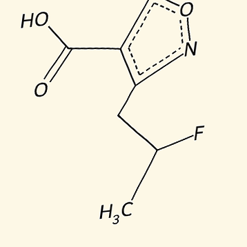 CC(F)Cc1nocc1C(=O)O